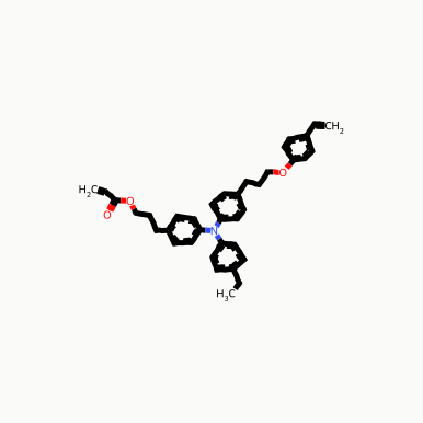 C=CC(=O)OCCCc1ccc(N(c2ccc(CC)cc2)c2ccc(CCCOc3ccc(C=C)cc3)cc2)cc1